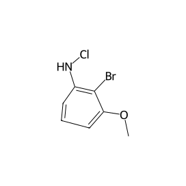 COc1cccc(NCl)c1Br